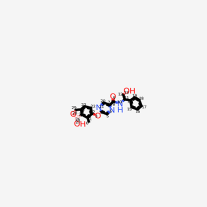 Cc1c(Oc2cnc(C(=O)NC(CO)c3ccccc3)cn2)ccc2c1B(O)OC2